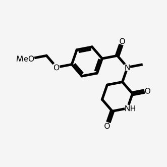 COCOc1ccc(C(=O)N(C)C2CCC(=O)NC2=O)cc1